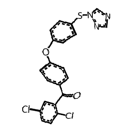 O=C(c1ccc(Oc2ccc(Sn3cncn3)cc2)cc1)c1cc(Cl)ccc1Cl